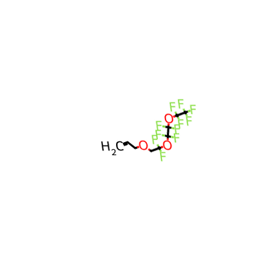 C=CCOCC(F)(F)OC(F)(F)C(F)(F)OC(F)(F)C(F)(F)F